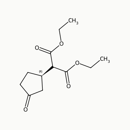 CCOC(=O)C(C(=O)OCC)[C@@H]1CCC(=O)C1